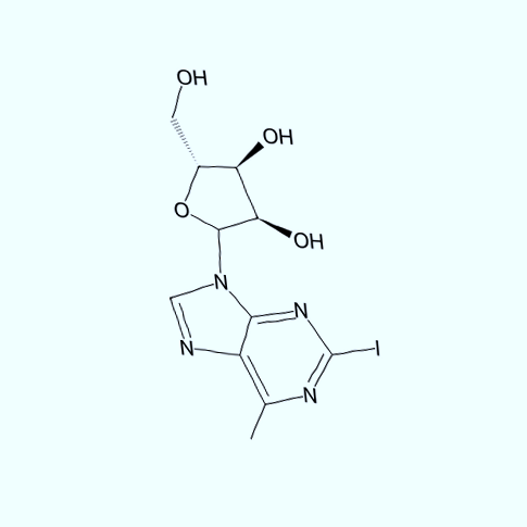 Cc1nc(I)nc2c1ncn2C1O[C@H](CO)[C@@H](O)[C@H]1O